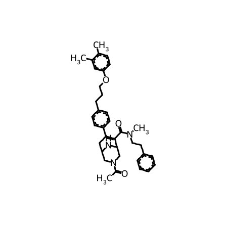 CC(=O)N1CC2CC(c3ccc(CCCOc4ccc(C)c(C)c4)cc3)=C(C(=O)N(C)CCc3ccccc3)C(C1)N2